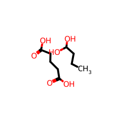 CCCC(O)O.O=C(O)CCCC(=O)O